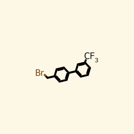 FC(F)(F)c1cccc(-c2ccc(CBr)cc2)c1